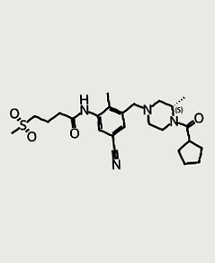 Cc1c(CN2CCN(C(=O)C3CCCC3)[C@@H](C)C2)cc(C#N)cc1NC(=O)CCCS(C)(=O)=O